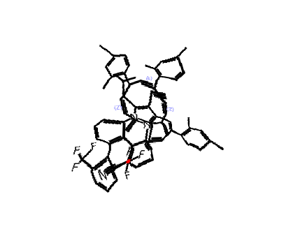 C=Cc1c(CC(C)C)n(-c2cccc(-c3c(C(F)(F)F)cccc3C(F)(F)F)c2-c2c(C#N)cccc2N2C(=C)/C=C\C(c3ccc(C)cc3C)=C/C(c3ccc(C)cc3C)/C=C\C2=C)c2ccc(-c3ccc(C)cc3C)cc12